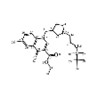 CCOC(=O)c1cn(CC2CCN(CCO[Si](C)(C)C(C)(C)C)C2)c2ccc(I)cc2c1=O